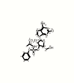 CCOC(=O)[C@H](C)NP(=O)(Oc1ccccc1)OC1C[C@H](n2cnc3c(N)nc(Cl)nc32)O[C@@H]1CO